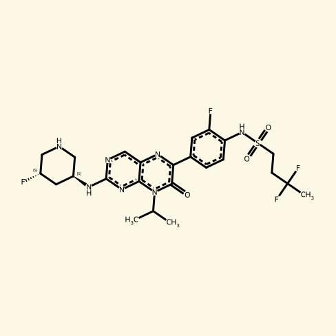 CC(C)n1c(=O)c(-c2ccc(NS(=O)(=O)CCC(C)(F)F)c(F)c2)nc2cnc(N[C@@H]3CNC[C@@H](F)C3)nc21